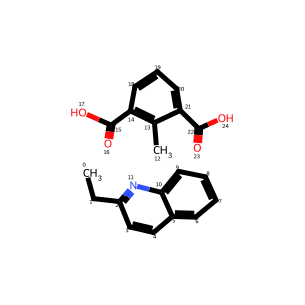 CCc1ccc2ccccc2n1.Cc1c(C(=O)O)cccc1C(=O)O